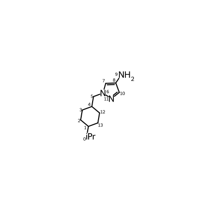 CC(C)C1CCC(Cn2cc(N)cn2)CC1